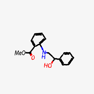 COC(=O)c1ccccc1NCC(O)c1ccccc1